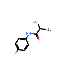 CCCCC(CCCC)C(=O)Nc1ccc(F)cc1